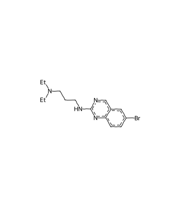 CCN(CC)CCCNc1ncc2cc(Br)ccc2n1